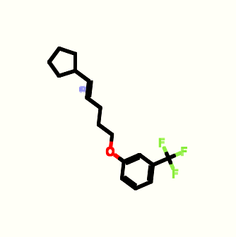 FC(F)(F)c1cccc(OCCC/C=C/C2CCCC2)c1